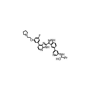 CC(C)C(O)Nc1cncc(-c2ccc3[nH]nc(-c4nc5c(-c6cc(F)cc(OCCN7CCCC7)c6)ccnc5[nH]4)c3c2)c1